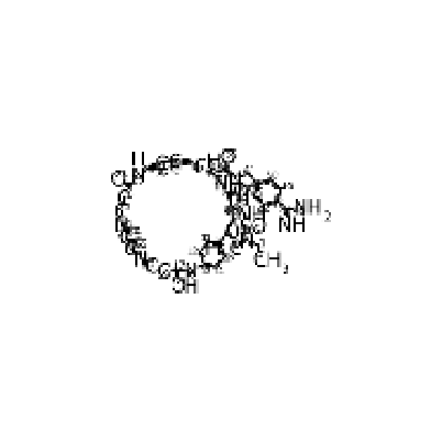 CCN(C)S(=O)(=O)N[C@@H]1Cc2ccc(cc2)NC(=O)CCN2CCN(CCC(=O)Nc3ccc(cc3)C[C@@H](C(=O)NCc3ccc(C(=N)N)cc3)NC1=O)CC2